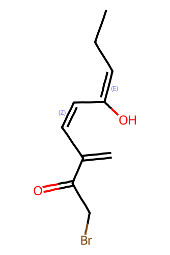 C=C(/C=C\C(O)=C/CC)C(=O)CBr